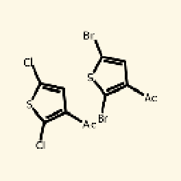 CC(=O)c1cc(Br)sc1Br.CC(=O)c1cc(Cl)sc1Cl